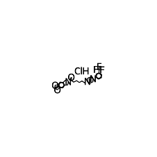 Cl.O=C(CCCCCN1CCN(c2cccc(C(F)(F)F)c2)CC1)N1Cc2cc3c(cc2C1)OCO3